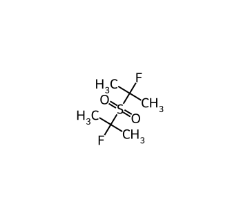 CC(C)(F)S(=O)(=O)C(C)(C)F